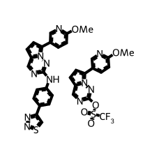 COc1ccc(-c2ccc3cnc(Nc4ccc(-c5csnn5)cc4)nn23)cn1.COc1ccc(-c2ccc3cnc(OS(=O)(=O)C(F)(F)F)nn23)cn1